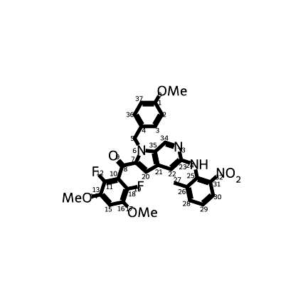 COc1ccc(Cn2c(C(=O)c3c(F)c(OC)cc(OC)c3F)cc3cc(Nc4c(C)cccc4[N+](=O)[O-])ncc32)cc1